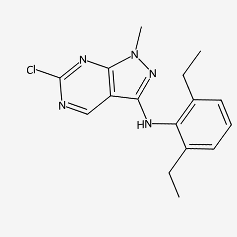 CCc1cccc(CC)c1Nc1nn(C)c2nc(Cl)ncc12